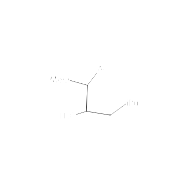 CCC(C)CC(C)C(OC)C(C)=O